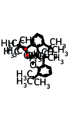 [CH2]C(C)(C)[C]OP(Oc1c(C(C)(C)C)cccc1C(C)(C)C)Oc1c(C(C)(C)C)cccc1C(C)(C)C